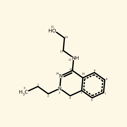 CCCN1Cc2ccccc2C(NCCO)=N1